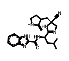 C=C1NCCC1C[C@@]1(C#N)CN=C(C(CC(C)C)NC(=O)c2nc3ccccc3[nH]2)N1